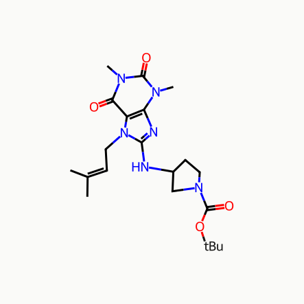 CC(C)=CCn1c(NC2CCN(C(=O)OC(C)(C)C)C2)nc2c1c(=O)n(C)c(=O)n2C